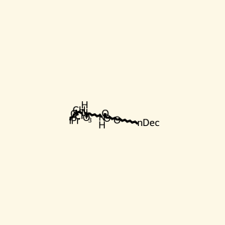 CCCCCCCCCCCCCCCCCCOCCCOC(=O)NCCCCCC(=O)NCCC(C)(C)OCCC(C)C